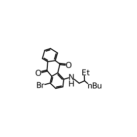 CCCCC(CC)CNc1ccc(Br)c2c1C(=O)c1ccccc1C2=O